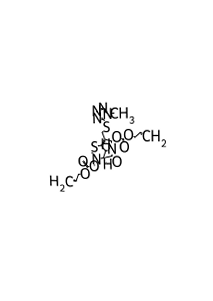 C=CCOC(=O)OC1C(CSc2nnnn2C)=C2SCN(OC(=O)OCC=C)[C@@H]3C(=O)N1[C@H]23